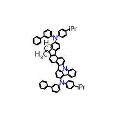 CC(C)c1ccc(N(c2cccc(-c3ccccc3)c2)c2ccc3c(c2)C(C)(C)c2ccc4c(ccc5c4c4ccc(N(c6ccc(C(C)C)cc6)c6cccc(-c7ccccc7)c6)c6c7ccccc7n5c46)c2-3)cc1